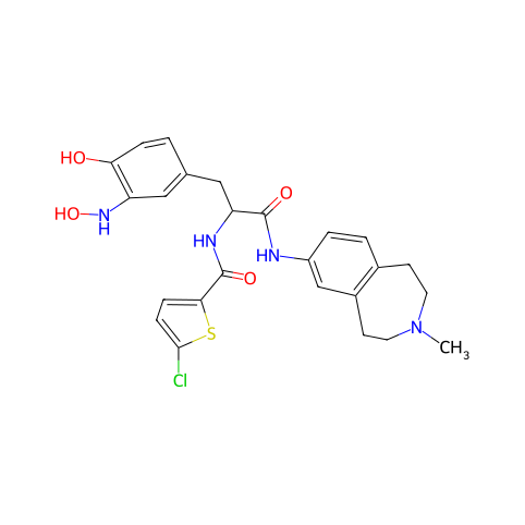 CN1CCc2ccc(NC(=O)C(Cc3ccc(O)c(NO)c3)NC(=O)c3ccc(Cl)s3)cc2CC1